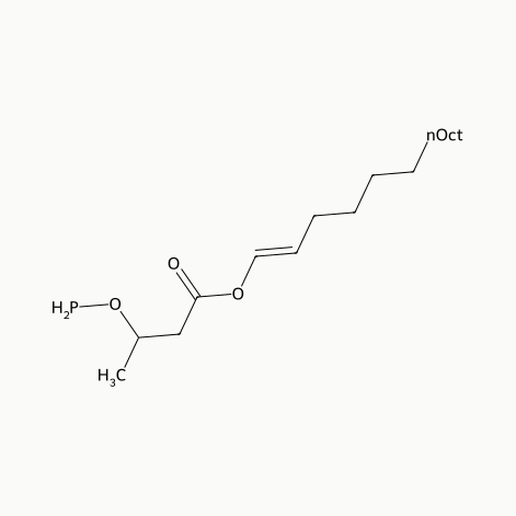 CCCCCCCCCCCCC=COC(=O)CC(C)OP